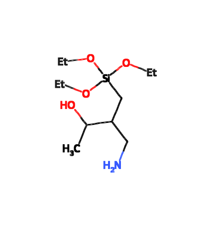 CCO[Si](CC(CN)C(C)O)(OCC)OCC